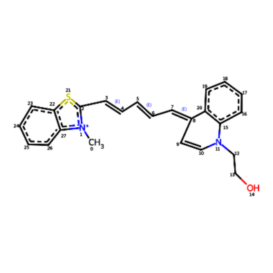 C[n+]1c(/C=C/C=C/C=C2\C=CN(CCO)c3ccccc32)sc2ccccc21